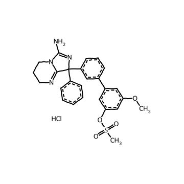 COc1cc(OS(C)(=O)=O)cc(-c2cccc(C3(c4ccccc4)N=C(N)N4CCCN=C43)c2)c1.Cl